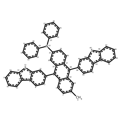 Cc1ccc2c(-c3ccc4c(c3)sc3ccccc34)c3cc(N(c4ccccc4)c4ccccc4)ccc3c(-c3ccc4c(c3)sc3ccccc34)c2c1